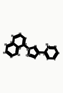 c1ccc(-c2cnn(-c3cccc4ccccc34)c2)nc1